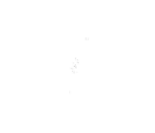 CCCCCCCCNC(=O)N=NC(=O)NCCCCCCCC